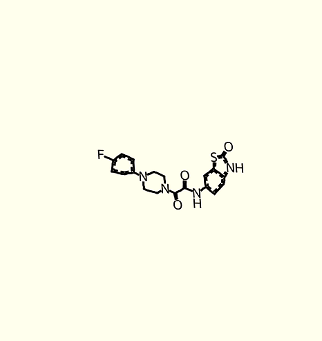 O=C(Nc1ccc2[nH]c(=O)sc2c1)C(=O)N1CCN(c2ccc(F)cc2)CC1